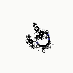 CCO.CO[C@H]1/C=C/O[C@@]2(C)Oc3c(C)c(O)c4c(c3C2=O)C2=NC3(CCN(CC(C)C)CC3)NC2=C(NC(=O)/C(C)=C\C=C\[C@H](C)[C@H](O)[C@@H](C)[C@@H](O)[C@@H](C)[C@H](OC(C)=O)[C@@H]1C)C4=O.Nc1nc2ccc(OC(F)(F)F)cc2s1